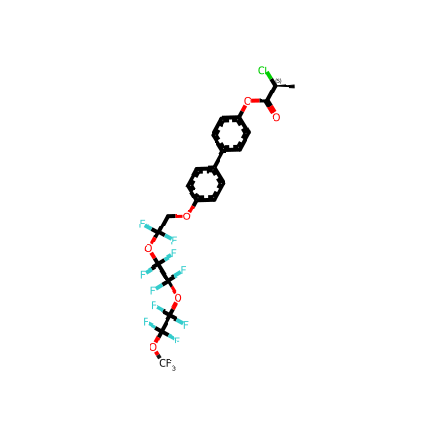 C[C@H](Cl)C(=O)Oc1ccc(-c2ccc(OCC(F)(F)OC(F)(F)C(F)(F)OC(F)(F)C(F)(F)OC(F)(F)F)cc2)cc1